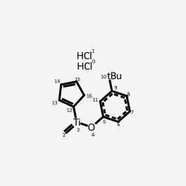 Cl.Cl.[CH2]=[Ti]([O]c1cccc(C(C)(C)C)c1)[C]1=CC=CC1